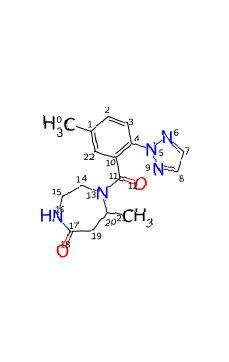 Cc1ccc(-n2nccn2)c(C(=O)N2CCNC(=O)CC2C)c1